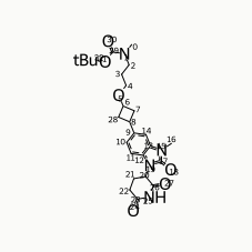 CN(CCCOC1CC(c2ccc3c(c2)n(C)c(=O)n3C2CCC(=O)NC2=O)C1)C(=O)OC(C)(C)C